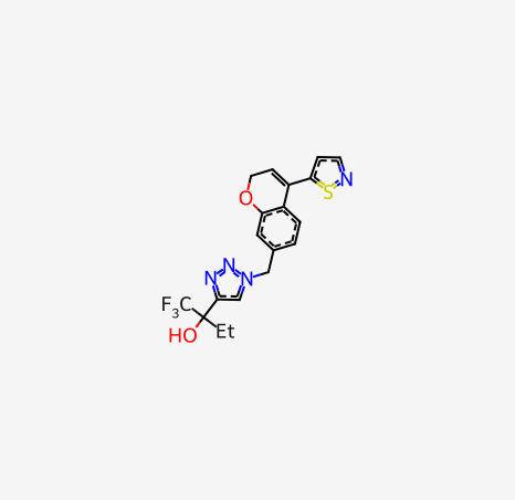 CCC(O)(c1cn(Cc2ccc3c(c2)OCC=C3c2ccns2)nn1)C(F)(F)F